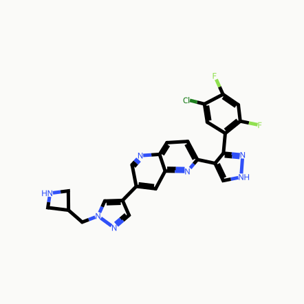 Fc1cc(F)c(-c2n[nH]cc2-c2ccc3ncc(-c4cnn(CC5CNC5)c4)cc3n2)cc1Cl